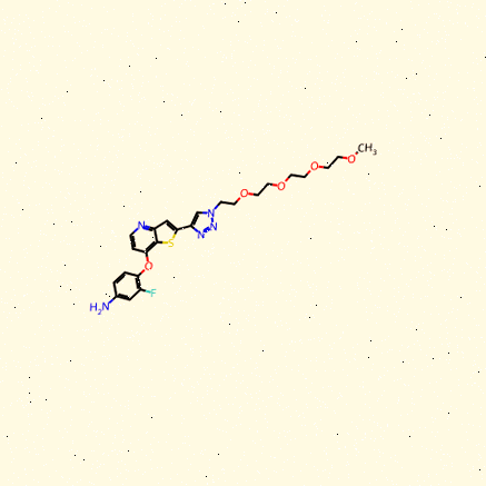 COCCOCCOCCOCCn1cc(-c2cc3nccc(Oc4ccc(N)cc4F)c3s2)nn1